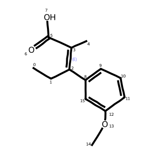 CC/C(=C(/C)C(=O)O)c1cccc(OC)c1